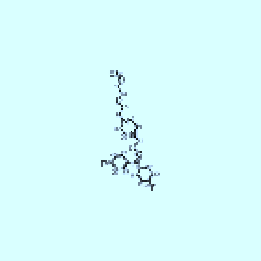 CCOCCOCCN1CCN(CCOC(c2ccc(F)cc2)c2ccc(F)cc2)CC1